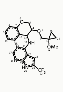 COC1(COC2COc3ccccc3C2Nc2ncnc3[nH]c(C(F)(F)F)cc23)CC1